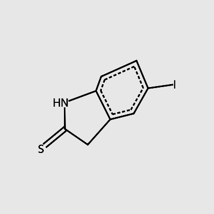 S=C1Cc2cc(I)ccc2N1